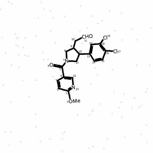 COc1ccc(C(=O)N2CC(CC=O)C(c3ccc(Cl)c(Cl)c3)C2)cn1